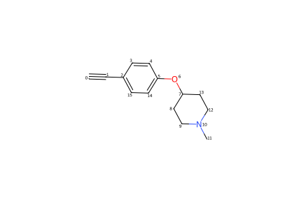 [C]#Cc1ccc(OC2CCN(C)CC2)cc1